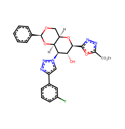 CCOC(=O)c1nnc([C@@H]2O[C@@H]3CO[C@H](c4ccccc4)O[C@@H]3[C@H](n3cc(-c4cccc(F)c4)nn3)[C@H]2O)o1